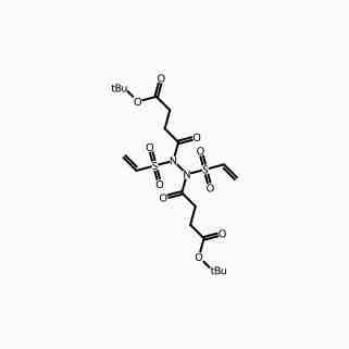 C=CS(=O)(=O)N(C(=O)CCC(=O)OC(C)(C)C)N(C(=O)CCC(=O)OC(C)(C)C)S(=O)(=O)C=C